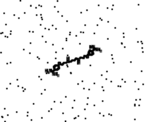 N=C(N)c1ccc(OCCCNCCCCNCCCOc2ccc(C(N)N)cc2)cc1